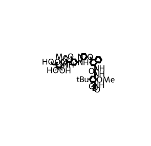 COc1cc(Nc2cc(Oc3ccc(NC(=O)Nc4cc(C(C)(C)C)cc(NS(C)(=O)=O)c4OC)c4ccccc34)ccn2)ccc1C(=O)N[C@H]1C(C)O[C@H](CO)[C@@H](O)[C@@H]1O